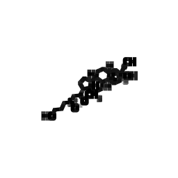 C#C[C@@]1(O)CC[C@@]2(C)[C@H](CC[C@@H]3[C@@H]2CC[C@]2(C)[C@@H](C(=O)C[S+]([O-])CCCO)CC[C@@H]32)C1